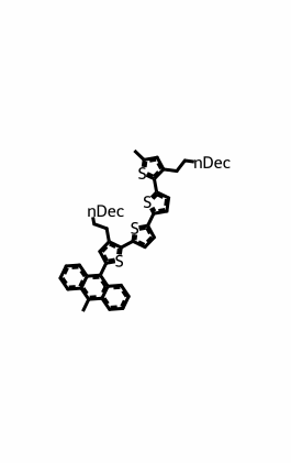 CCCCCCCCCCCCc1cc(C)sc1-c1ccc(-c2ccc(-c3sc(-c4c5ccccc5c(C)c5ccccc45)cc3CCCCCCCCCCCC)s2)s1